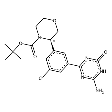 CC(C)(C)OC(=O)N1CCOC[C@H]1c1cc(Cl)cc(-c2nc(N)[nH]c(=O)n2)c1